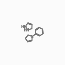 C1=CN(c2ccccc2)CC1.C1=CNNC1